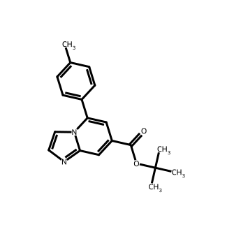 Cc1ccc(-c2cc(C(=O)OC(C)(C)C)cc3nccn23)cc1